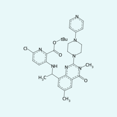 Cc1cc(C(C)Nc2ccc(Cl)nc2C(=O)OC(C)(C)C)c2nc(N3CCN(c4ccncc4)CC3)n(C)c(=O)c2c1